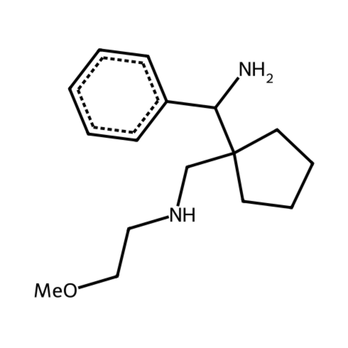 COCCNCC1(C(N)c2ccccc2)CCCC1